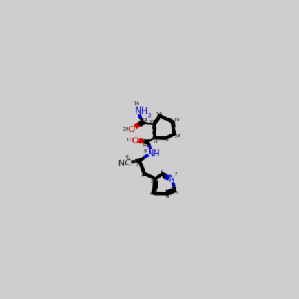 N#CC(Cc1cccnc1)NC(=O)[C@@H]1CCCC[C@@H]1C(N)=O